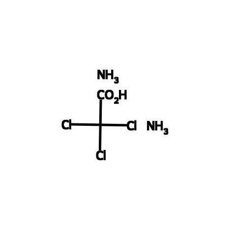 N.N.O=C(O)C(Cl)(Cl)Cl